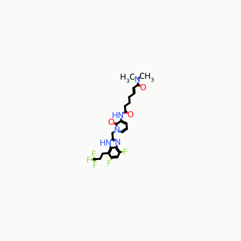 CN(C)C(=O)/C=C/CCCC(=O)Nc1cccn(Cc2nc3c(F)cc(F)c(CCC(F)(F)F)c3[nH]2)c1=O